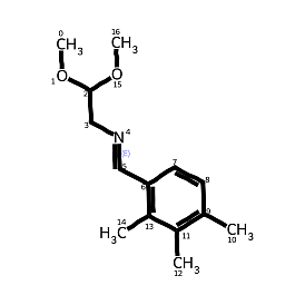 COC(C/N=C/c1ccc(C)c(C)c1C)OC